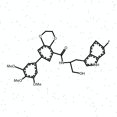 COc1cc(-c2cc3c(c(C(=O)NC(CO)Cc4c[nH]c5cc(F)ccc45)c2)OCCO3)cc(OC)c1OC